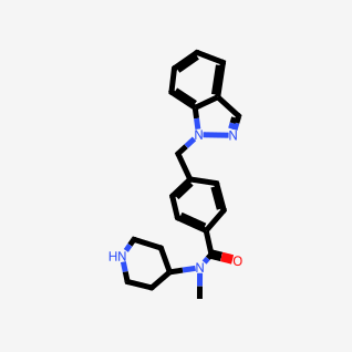 CN(C(=O)c1ccc(Cn2ncc3ccccc32)cc1)C1CCNCC1